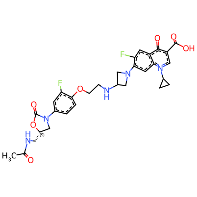 CC(=O)NC[C@H]1CN(c2ccc(OCCNC3CN(c4cc5c(cc4F)c(=O)c(C(=O)O)cn5C4CC4)C3)c(F)c2)C(=O)O1